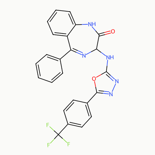 O=C1Nc2ccccc2C(c2ccccc2)=NC1Nc1nnc(-c2ccc(C(F)(F)F)cc2)o1